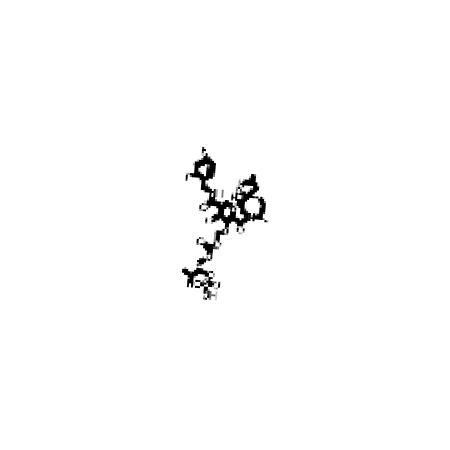 CC1=NO[C@@]2(CC[C@H](C)N3C[C@H]2n2cc(C(=O)NCc4ccc(F)cc4F)c(=O)c(OCOC(=O)OC[C@H](OP(=O)(O)O)C(C)C)c2C3=O)C1